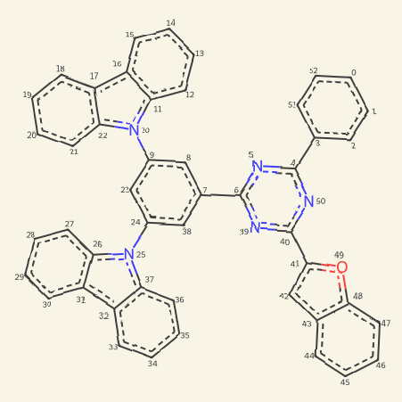 c1ccc(-c2nc(-c3cc(-n4c5ccccc5c5ccccc54)cc(-n4c5ccccc5c5ccccc54)c3)nc(-c3cc4ccccc4o3)n2)cc1